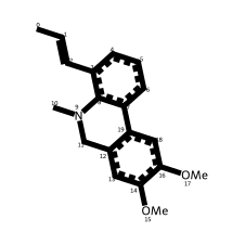 C/C=C/c1cccc2c1N(C)Cc1cc(OC)c(OC)cc1-2